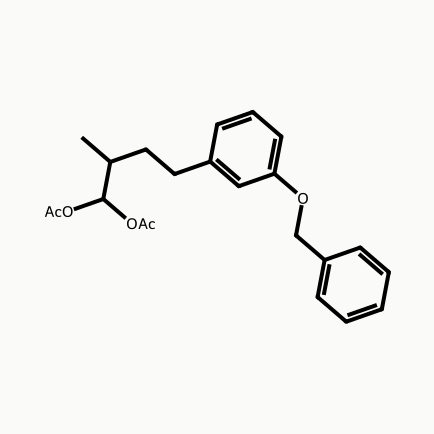 CC(=O)OC(OC(C)=O)C(C)CCc1cccc(OCc2ccccc2)c1